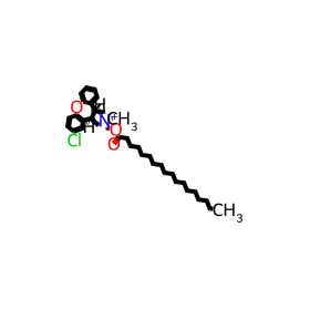 CCCCCCCCCCCCCCCCCC(=O)OC[N+]1(C)C[C@H]2c3ccccc3Oc3ccc(Cl)cc3[C@@H]2C1